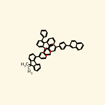 CC1(C)c2ccccc2-c2c(-c3cccc(N(c4ccc(-c5ccc(-c6ccc7ccccc7c6)cc5)cc4)c4cccc(-c5ccccc5)c4-c4ccccc4-c4ccccc4)c3)cccc21